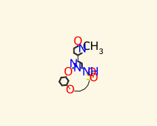 Cn1cc(-c2cc3nc(n2)Oc2cccc(c2)OCCCCCS(=O)(=O)N3)ccc1=O